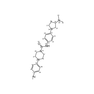 CC(=O)c1ccc(N2CCN(C(=O)Nc3ccc(N4CCC(N(C)C)C4)cc3)CC2)cc1